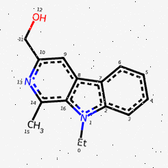 CCn1c2ccccc2c2cc(CO)nc(C)c21